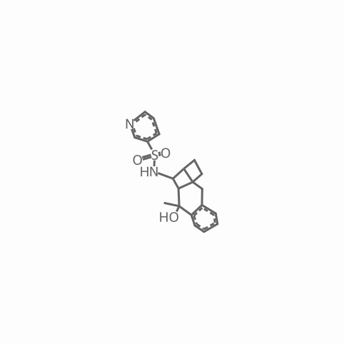 CC1(O)c2ccccc2CC23CCC2C(NS(=O)(=O)c2cccnc2)C13